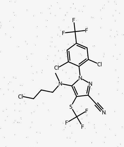 CN(CCCCl)c1c(SC(F)(F)F)c(C#N)nn1-c1c(Cl)cc(C(F)(F)F)cc1Cl